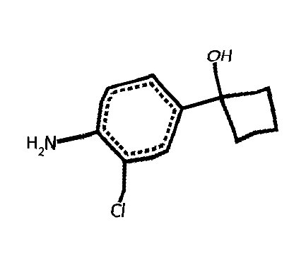 Nc1ccc(C2(O)CCC2)cc1Cl